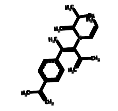 C=C(C)/C(=C(/C)c1ccc(C(=C)C)cc1)N(/C=C\C)C(=C)C(C)CCCC